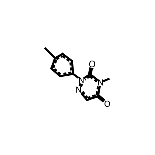 Cc1[c]cc(-n2ncc(=O)n(C)c2=O)cc1